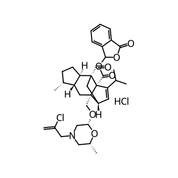 C=C(Cl)CN1C[C@H](OC[C@@]23C[C@@H]4[C@H](C)CC[C@H]4[C@]4(C=O)C[C@@H]2C=C(C(C)C)[C@@]34C(=O)OC2OC(=O)c3ccccc32)O[C@H](C)C1.Cl